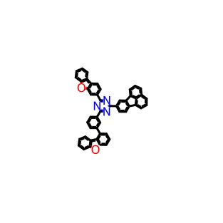 c1cc(-c2nc(-c3ccc4c(c3)-c3cccc5cccc-4c35)nc(-c3ccc4c(c3)oc3ccccc34)n2)cc(-c2cccc3oc4ccccc4c23)c1